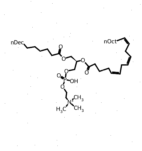 CCCCCCCC/C=C\C/C=C\C/C=C\CCCC(=O)O[C@H](COC(=O)CCCCCCCCCCCCCCC)COP(=O)(O)OCC[N+](C)(C)C